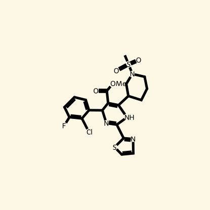 COC(=O)C1=C(C2CCCN(S(C)(=O)=O)C2)NC(c2nccs2)=NC1c1cccc(F)c1Cl